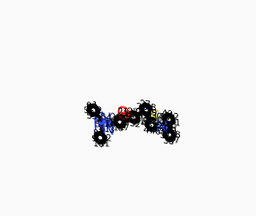 c1ccc(-c2nc(-c3ccccc3)nc(-c3ccc4c(c3)oc3cc(-c5cccc6sc7c(-n8c9ccccc9c9ccccc98)cccc7c56)ccc34)n2)cc1